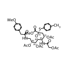 COC(=O)[C@@]1(Sc2ccc(C)cc2)C[C@H](OC(C)=O)[C@@H](NC(=O)COC(C)=O)[C@H]([C@H](OC(C)=O)[C@@H](CNC(=O)Cc2ccc(OC)cc2)OC(C)=O)O1